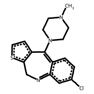 CN1CCN(C2=c3ccc(Cl)cc3=NCc3sccc32)CC1